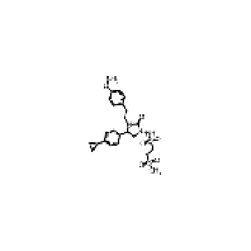 COc1ccc(CCN2C(=O)N(NS(=O)(=O)CCS(C)(=O)=O)CC2c2ccc(C3CC3)cc2)cc1